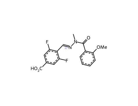 COc1ccccc1C(=O)N(C)/N=C/c1c(F)cc(C(=O)O)cc1F